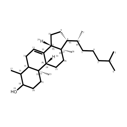 CC(C)CCC[C@@H](C)[C@H]1CC[C@H]2C3=CCC4C(C)C(O)CC[C@]4(C)[C@H]3CC[C@]12C